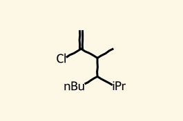 C=C(Cl)C(C)C(CCCC)C(C)C